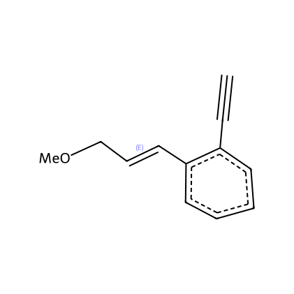 C#Cc1ccccc1/C=C/COC